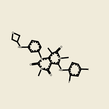 Cc1c(=O)n(C)c(Nc2ccc(I)cc2F)c2c(=O)n(C)c(=O)n(-c3cccc(NC4COC4)c3)c12